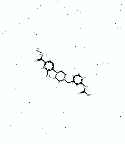 CCCC(=O)Nc1cc(CN2CCN(c3ccc(C(=O)NC#N)nc3C)CC2)ccn1